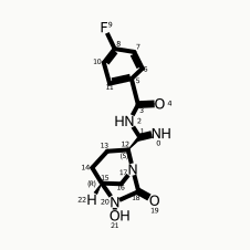 N=C(NC(=O)c1ccc(F)cc1)[C@@H]1CC[C@@H]2CN1C(=O)N2O